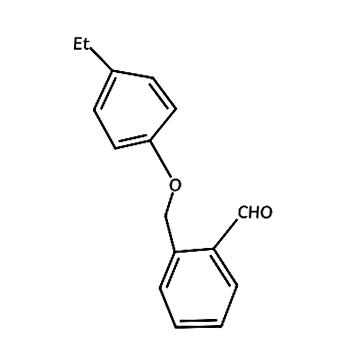 CCc1ccc(OCc2ccccc2C=O)cc1